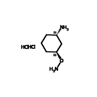 Cl.Cl.NO[C@H]1CCC[C@H](N)C1